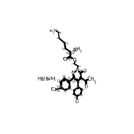 Br.Br.CC(=O)c1c(-c2ccc(Cl)cc2)c(-c2ccc(Cl)cc2)nn(CCOC(=O)[C@@H](N)CCCCN)c1=O